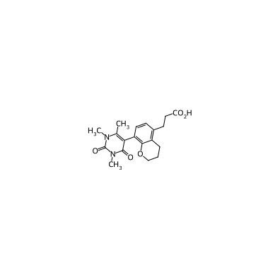 Cc1c(-c2ccc(CCC(=O)O)c3c2OCCC3)c(=O)n(C)c(=O)n1C